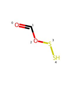 O=COSS